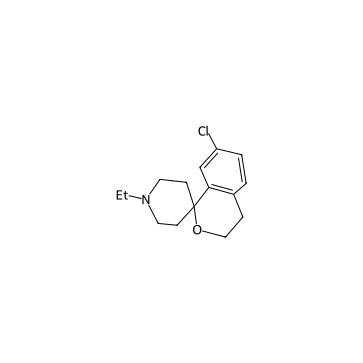 CCN1CCC2(CC1)OCCc1ccc(Cl)cc12